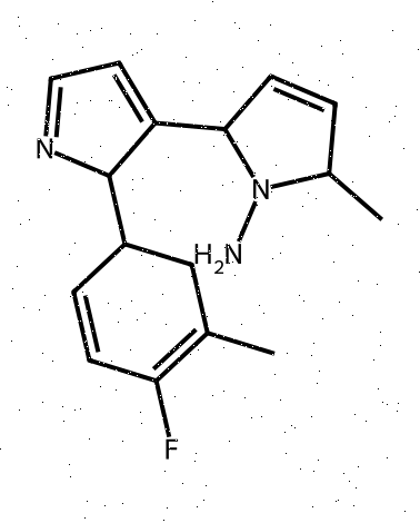 CC1=C(F)C=CC(C2N=CC=C2C2C=CC(C)N2N)C1